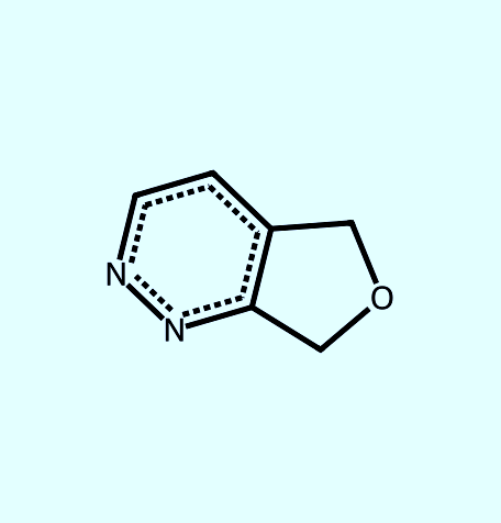 c1cc2c(nn1)COC2